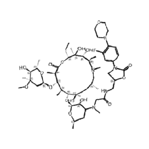 CC[C@H]1OC(=O)[C@H](C)[C@@H](O[C@H]2C[C@@](C)(OC)[C@@H](O)[C@H](C)O2)[C@H](C)[C@@H](O[C@@H]2O[C@H](C)CC(N(C)CC(=O)NC[C@H]3CN(c4ccc(N5CCOCC5)c(F)c4)C(=O)O3)[C@H]2O)[C@](C)(O)C[C@@H](C)CN(C)[C@H](C)[C@@H](O)[C@]1(C)O